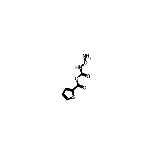 NONC(=O)OC(=O)c1cccs1